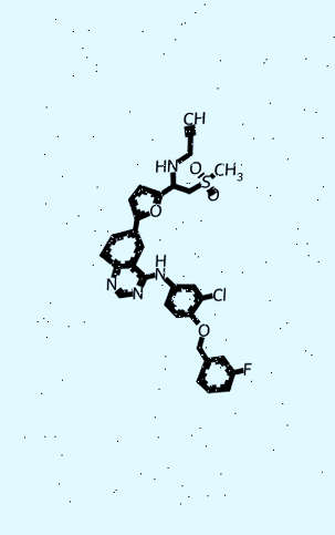 C#CCNC(CS(C)(=O)=O)c1ccc(-c2ccc3ncnc(Nc4ccc(OCc5cccc(F)c5)c(Cl)c4)c3c2)o1